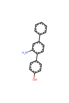 Nc1cc(-c2ccccc2)ccc1-c1ccc(O)cc1